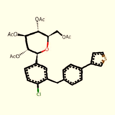 CC(=O)OC[C@H]1O[C@@H](c2ccc(Cl)c(Cc3ccc(-c4ccsc4)cc3)c2)[C@H](OC(C)=O)[C@@H](OC(C)=O)[C@@H]1OC(C)=O